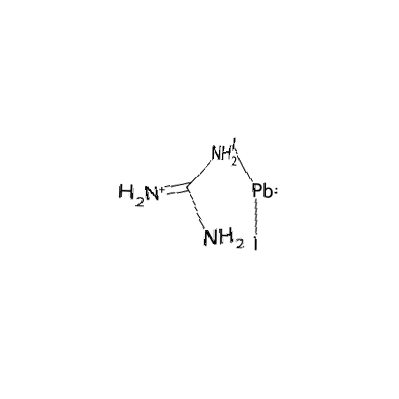 NC(N)=[NH2+].[I][Pb][I]